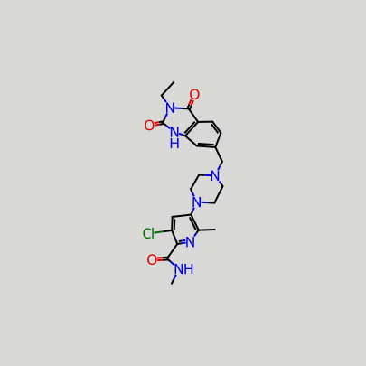 CCn1c(=O)[nH]c2cc(CN3CCN(c4cc(Cl)c(C(=O)NC)nc4C)CC3)ccc2c1=O